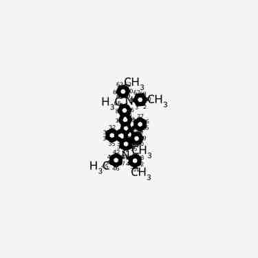 Cc1ccc(N(c2ccc3cc4c(cc3c2)C(c2ccccc2)(c2ccccc2)c2c-4c3ccccc3c3cc(N(c4ccc(C)cc4)c4cc(C)ccc4C)ccc23)c2cc(C)ccc2C)cc1